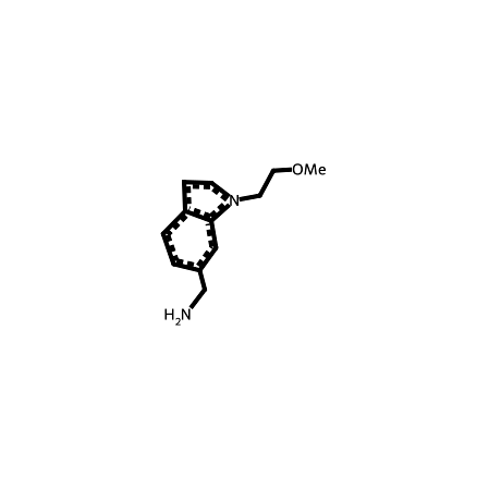 COCCn1ccc2ccc(CN)cc21